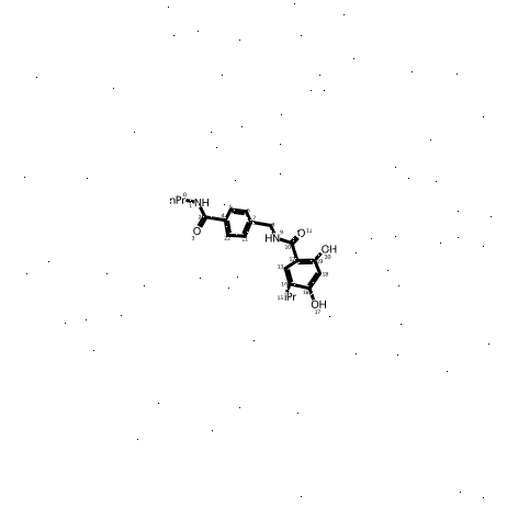 CCCNC(=O)c1ccc(CNC(=O)c2cc(C(C)C)c(O)cc2O)cc1